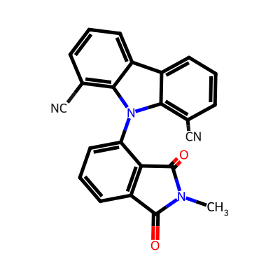 CN1C(=O)c2cccc(-n3c4c(C#N)cccc4c4cccc(C#N)c43)c2C1=O